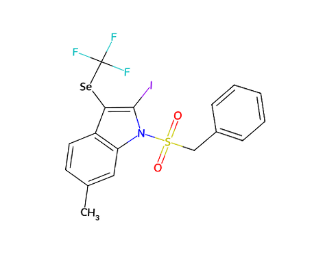 Cc1ccc2c([Se]C(F)(F)F)c(I)n(S(=O)(=O)Cc3ccccc3)c2c1